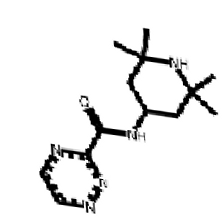 CC1(C)CC(NC(=O)c2nccnn2)CC(C)(C)N1